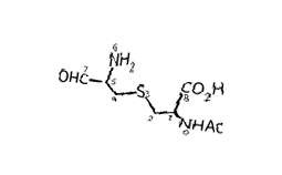 CC(=O)NC(CSC[C@H](N)C=O)C(=O)O